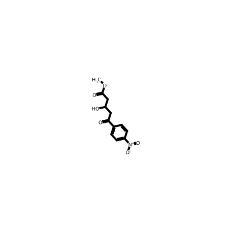 COC(=O)CC(O)CC(=O)c1ccc([N+](=O)[O-])cc1